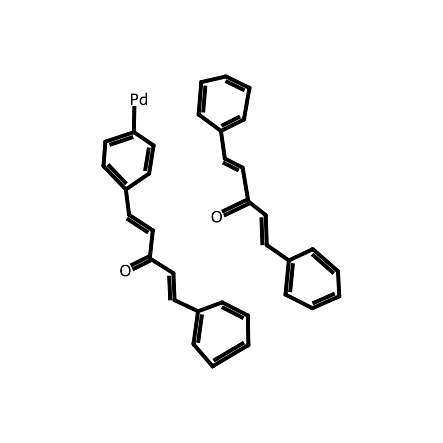 O=C(C=Cc1ccccc1)C=Cc1cc[c]([Pd])cc1.O=C(C=Cc1ccccc1)C=Cc1ccccc1